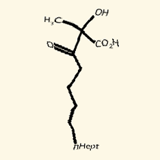 CCCCCCCCCCCC(=O)C(C)(O)C(=O)O